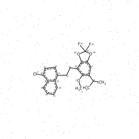 COc1c(C(C)C)cc2c(c1CCc1ccc(Cl)c3ccccc13)OC(F)(F)O2